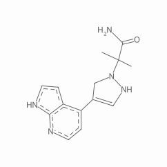 CC(C)(C(N)=O)N1CC(c2ccnc3[nH]ccc23)=CN1